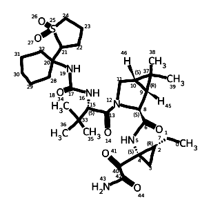 CC[C@@H]1C[C@@]1(NC(=O)[C@@H]1[C@@H]2[C@H](CN1C(=O)[C@@H](NC(=O)NC1(C3CCCS3(=O)=O)CCCCC1)C(C)(C)C)C2(C)C)C(=O)C(N)=O